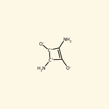 Nc1c([O-])[c+](N)[c+]1[O-]